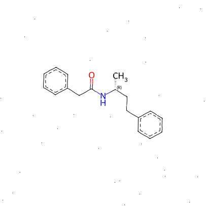 C[C@H](CCc1ccccc1)NC(=O)Cc1ccccc1